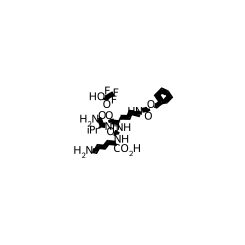 CC(C)[C@H](NC(=O)[C@@H](CCCCNC(=O)OCc1ccccc1)NC(=O)N[C@@H](CCCCN)C(=O)O)C(N)=O.O=C(O)C(F)(F)F